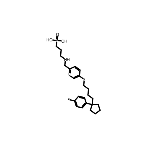 O=P(O)(O)CCCNCc1ccc(SCCCCC2(c3ccc(F)cc3)CCCC2)cn1